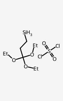 CCOC(CC[SiH3])(OCC)OCC.O=S(=O)(Cl)Cl